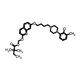 CCC(C)(C)C(=O)OCOc1ccc2ccc(OCCCCN3CCN(c4cccc(C)c4Cl)CC3)cc2n1